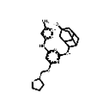 Cc1cc(Nc2cc(OC[C@H]3CCCO3)nc(NC3C4CC5CC3CC(O)(C5)C4)n2)n[nH]1